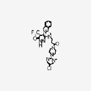 CN1CC(Cl)=CN=C1N1CCN(C(=O)CCNC[C@H]2c3ccccc3CN2c2cn[nH]c(=O)c2C(F)(F)F)CC1